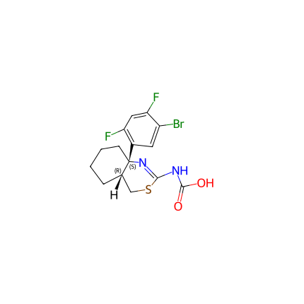 O=C(O)NC1=N[C@@]2(c3cc(Br)c(F)cc3F)CCCC[C@H]2CS1